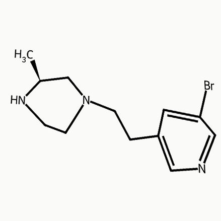 C[C@H]1CN(CCc2cncc(Br)c2)CCN1